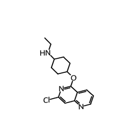 CCNC1CCC(Oc2nc(Cl)cc3ncccc23)CC1